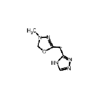 CN1COC([CH]c2nnc[nH]2)=N1